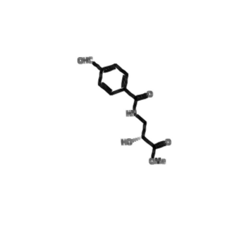 COC(=O)[C@H](O)CNC(=O)c1ccc(C=O)cc1